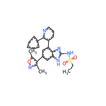 CCS(=O)(=O)Nc1nc2c(-c3cccnc3-c3ccccc3)cc(-c3c(C)noc3C)cc2[nH]1